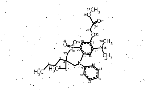 CCCCC1(CC)CN(c2ccccc2)c2cc(N(C)C)c(OCC(=O)OC)cc2S(=O)(=O)C1